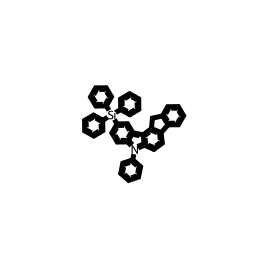 c1ccc(-n2c3ccc([Si](c4ccccc4)(c4ccccc4)c4ccccc4)cc3c3c4c(ccc32)-c2ccccc2C4)cc1